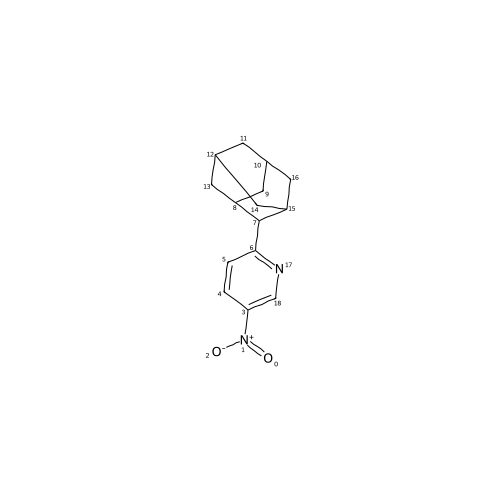 O=[N+]([O-])c1ccc(C2C3CC4CC(C3)CC2C4)nc1